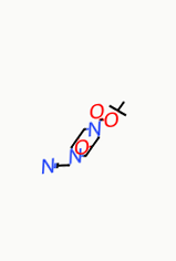 CC(C)(C)OC(=O)N1CC2CN(CC#N)CC(C1)O2